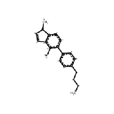 CCCCc1ccc(-c2ccc3c(c2Br)C=CC3C)cc1